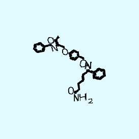 Cc1oc(-c2ccccc2)nc1COc1ccc(CO/N=C(\CCCCC(N)=O)c2ccccc2)cc1